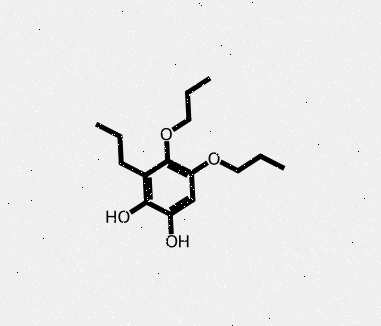 CCCOc1cc(O)c(O)c(CCC)c1OCCC